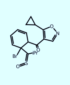 CC(C)C(=S=O)C1(Br)C=CC=CC1C(=O)c1cnoc1C1CC1